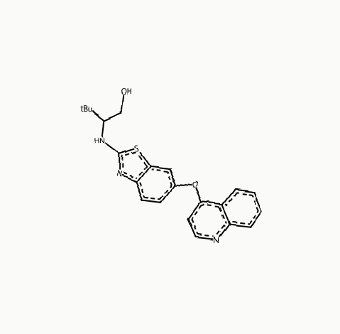 CC(C)(C)C(CO)Nc1nc2ccc(Oc3ccnc4ccccc34)cc2s1